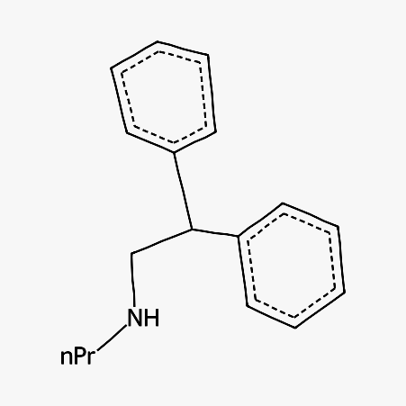 CCCNCC(c1ccccc1)c1ccccc1